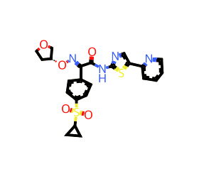 O=C(Nc1ncc(-c2ccccn2)s1)/C(=N/O[C@@H]1CCOC1)c1ccc(S(=O)(=O)C2CC2)cc1